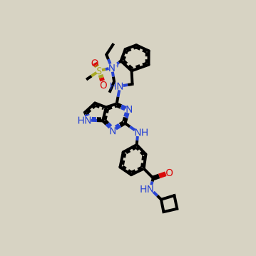 CC[N+](CC)(c1ccccc1CNc1nc(Nc2cccc(C(=O)NC3CCC3)c2)nc2[nH]ccc12)S(C)(=O)=O